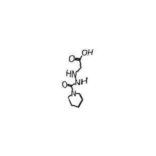 O=C(O)CNNC(=O)N1CCCCC1